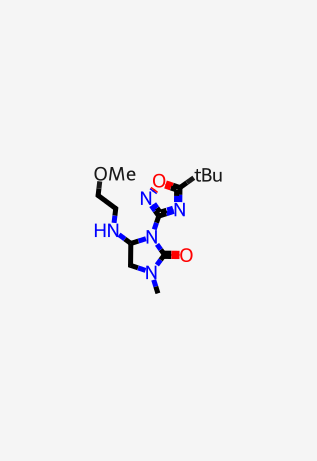 COCCNC1CN(C)C(=O)N1c1noc(C(C)(C)C)n1